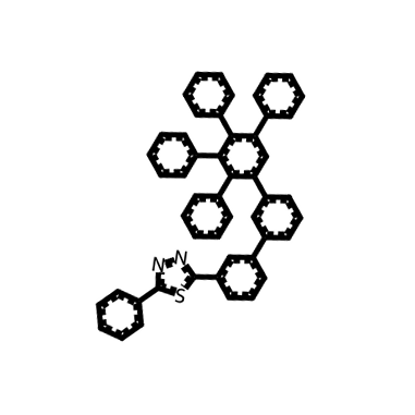 c1ccc(-c2nnc(-c3cccc(-c4cccc(-c5cc(-c6ccccc6)c(-c6ccccc6)c(-c6ccccc6)c5-c5ccccc5)c4)c3)s2)cc1